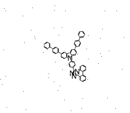 c1ccc(-c2ccc(-c3ccc4c(c3)c3cc(-c5ccc(-c6ccccc6)cc5)ccc3n4-c3ccc(-c4nnc5c6ccccc6c6ccccc6n45)cc3)cc2)cc1